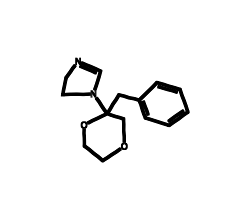 C1=NCCN1C1(Cc2ccccc2)COCCO1